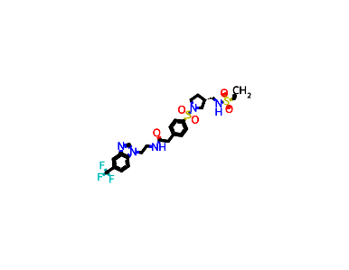 C=CS(=O)(=O)NC[C@H]1CCN(S(=O)(=O)c2ccc(CC(=O)NCCn3cnc4cc(C(F)(F)F)ccc43)cc2)C1